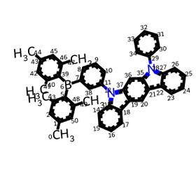 Cc1cc(C)c(B(c2cccc(-n3c4ccccc4c4cc5c6ccccc6n(-c6ccccc6)c5cc43)c2)c2c(C)cc(C)cc2C)c(C)c1